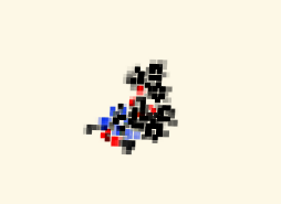 CC(C)C(=O)Nc1nc(NC(=O)C(C)C)c2ncn([C@@H]3O[C@H](COC(c4ccccc4)(c4ccccc4)c4ccccc4)[C@@H](OC(c4ccccc4)(c4ccccc4)c4ccccc4)[C@H]3F)c2n1